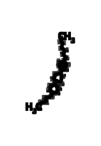 CCCCCCCC12CCC(C3CCC([C@H]4CC[C@H](CCCCC)CC4)CC3)(CC1)CC2